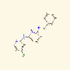 Clc1ccnc(Nc2cccc(NCc3ccccc3)n2)c1